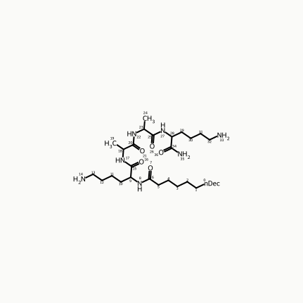 CCCCCCCCCCCCCCCC(=O)NC(CCCCN)C(=O)NC(C)C(=O)NC(C)C(=O)NC(CCCCN)C(N)=O